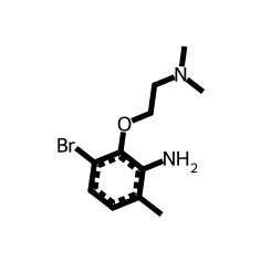 Cc1ccc(Br)c(OCCN(C)C)c1N